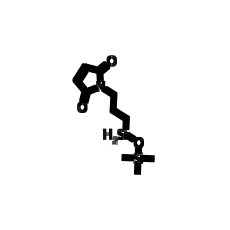 C[Si](C)(C)O[SiH2]CCCN1C(=O)C=CC1=O